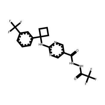 O=C(NNC(=O)C(F)(F)F)c1cnc(NC2(c3cccc(C(F)(F)F)c3)CCC2)nc1